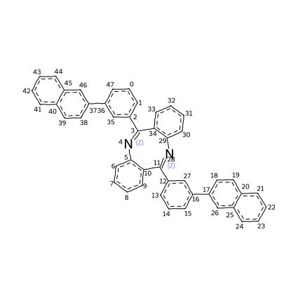 c1cc(/C2=N/c3ccccc3/C(c3cccc(-c4ccc5ccccc5c4)c3)=N\c3ccccc32)cc(-c2ccc3ccccc3c2)c1